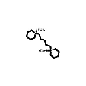 CCCCC[N+]1(CCCCC[N+]2(CCCCC)CCCCC2)CCCCC1